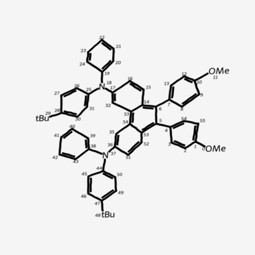 COc1ccc(-c2c(-c3ccc(OC)cc3)c3ccc(N(c4ccccc4)c4ccc(C(C)(C)C)cc4)cc3c3cc(N(c4ccccc4)c4ccc(C(C)(C)C)cc4)ccc23)cc1